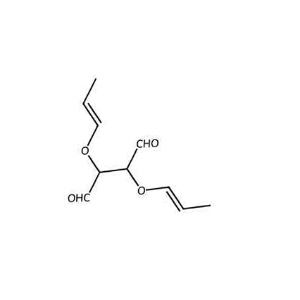 CC=COC(C=O)C(C=O)OC=CC